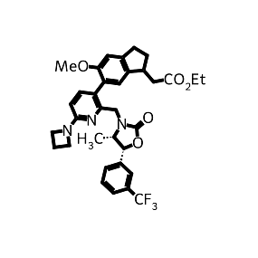 CCOC(=O)CC1CCc2cc(OC)c(-c3ccc(N4CCC4)nc3CN3C(=O)O[C@H](c4cccc(C(F)(F)F)c4)[C@@H]3C)cc21